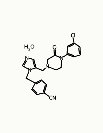 N#Cc1ccc(Cn2cncc2CN2CCN(c3cccc(Cl)c3)C(=O)C2)cc1.O